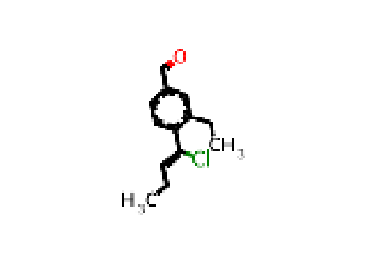 CCC=C(Cl)c1ccc(C=O)cc1CC